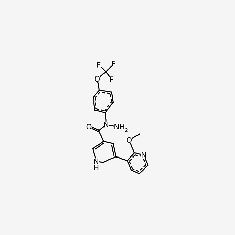 COc1ncccc1C1=CC(C(=O)N(N)c2ccc(OC(F)(F)F)cc2)=CNC1